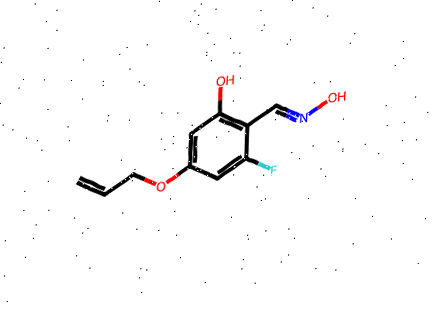 C=CCOc1cc(O)c(C=NO)c(F)c1